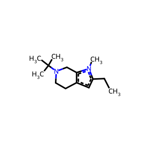 CCc1cc2c(n1C)CN(C(C)(C)C)CC2